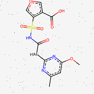 COc1cc(C)nc([AsH]C(=O)NS(=O)(=O)c2cocc2C(=O)O)n1